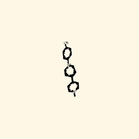 C[n+]1ccc(-c2cc[n+](-c3ccc(C#N)cc3)cc2)cc1